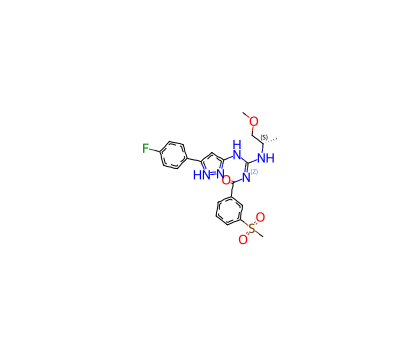 COC[C@H](C)N/C(=N/C(=O)c1cccc(S(C)(=O)=O)c1)Nc1cc(-c2ccc(F)cc2)[nH]n1